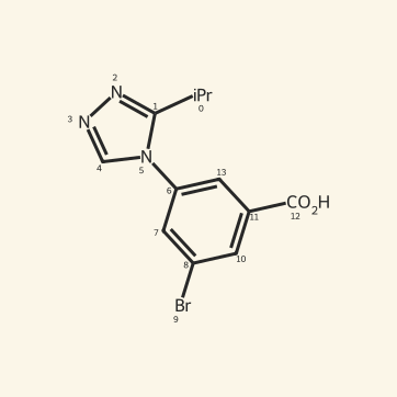 CC(C)c1nncn1-c1cc(Br)cc(C(=O)O)c1